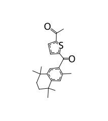 CC(=O)c1ccc(C(=O)c2cc3c(cc2C)C(C)(C)CCC3(C)C)s1